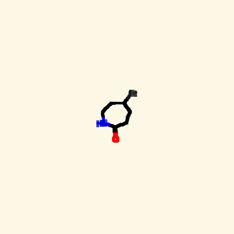 CCC1CCNC(=O)CC1